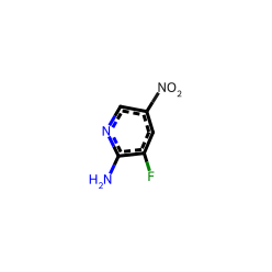 Nc1ncc([N+](=O)[O-])cc1F